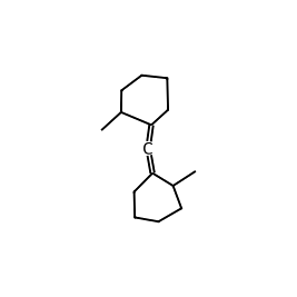 CC1CCCCC1=C=C1CCCCC1C